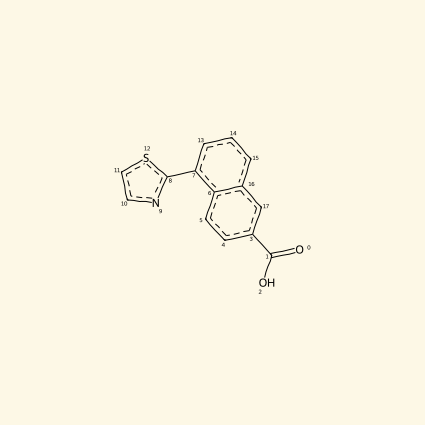 O=C(O)c1ccc2c(-c3nccs3)cccc2c1